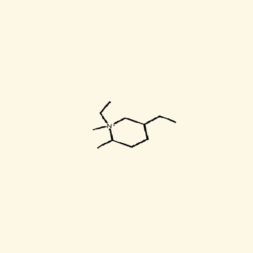 CCC1CCC(C)[N+](C)(CC)C1